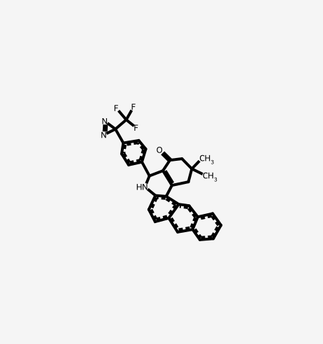 CC1(C)CC(=O)C2=C(C1)c1c(ccc3cc4ccccc4cc13)NC2c1ccc(C2(C(F)(F)F)N=N2)cc1